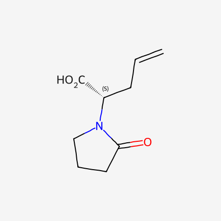 C=CC[C@@H](C(=O)O)N1CCCC1=O